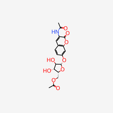 CC(=O)Nc1cc2ccc(O[C@@H]3O[C@H](COC(C)=O)[C@H](O)C3O)cc2oc1=O